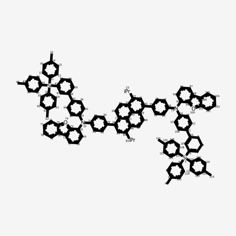 Cc1ccc([Si](C2=CCCC(c3ccc(N(c4ccc(-c5cc(C(C)C)c6ccc7c(-c8ccc(N(c9ccc(-c%10cccc([Si](c%11ccc(C)cc%11)(c%11ccc(C)cc%11)c%11ccc(C)cc%11)c%10)cc9)c9cccc%10c9oc9ccccc9%10)cc8)cc(C(C)C)c8ccc5c6c78)cc4)c4cccc5c4oc4ccccc45)cc3)=C2)(c2ccc(C)cc2)c2ccc(C)cc2)cc1